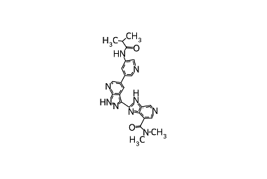 CC(C)C(=O)Nc1cncc(-c2cnc3[nH]nc(-c4nc5c(C(=O)N(C)C)cncc5[nH]4)c3c2)c1